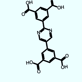 O=C(O)c1cc(C(=O)O)cc(-c2cnc(-c3cc(C(=O)O)cc(C(=O)O)c3)nc2)c1